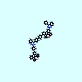 c1ccc(-c2nc(-c3ccc4c(c3)-c3ccc(-c5ccc(-c6ccc(-c7nc(-c8ccc(-c9ccc%10c(c9)-c9ccccc9C%109c%10ccccc%10Oc%10ccccc%109)cc8)nc8ccccc78)cc6)cc5)cc3C43c4ccccc4Oc4ccccc43)nc3ccccc23)cc1